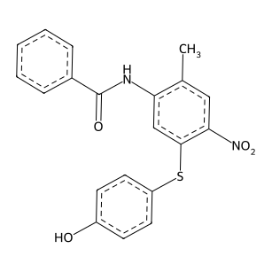 Cc1cc([N+](=O)[O-])c(Sc2ccc(O)cc2)cc1NC(=O)c1ccccc1